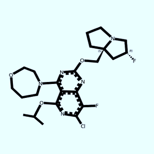 CC(C)Oc1nc(Cl)c(F)c2nc(OC[C@@]34CCCN3C[C@H](F)C4)nc(N3CCCOCC3)c12